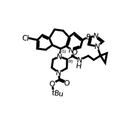 CC(C)(C)OC(=O)N1CCN([C@@H]2c3ncc(Br)cc3CCC3=CC(Cl)=CCC32)[C@@H](C(=O)NCCC2(n3ccnc3)CC2)C1